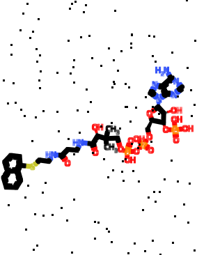 CC(C)(COP(=O)(O)OP(=O)(O)OC[C@H]1O[C@@H](n2cnc3c(N)ncnc32)[C@H](O)[C@@H]1OP(=O)(O)O)[C@@H](O)C(=O)NCCC(=O)NCCSc1cccc2ccccc12